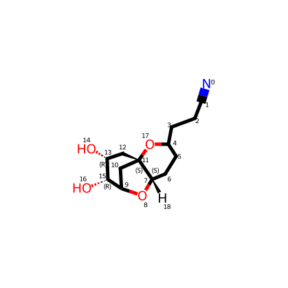 N#CCCC1CC[C@@H]2OC3C[C@]2(C[C@@H](O)[C@H]3O)O1